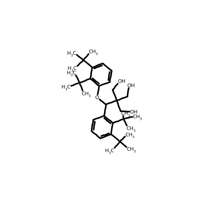 CC(C)(C)c1cccc(OC(c2cccc(C(C)(C)C)c2C(C)(C)C)C(CO)(CO)CO)c1C(C)(C)C